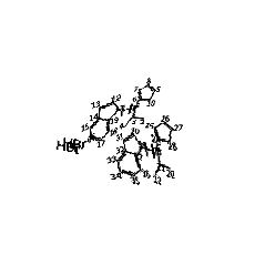 Br.Br.C[C](C)=[Hf]([C]1=CC=CC1)[CH]1C=Cc2ccccc21.C[C](C)=[Hf]([C]1=CC=CC1)[CH]1C=Cc2ccccc21